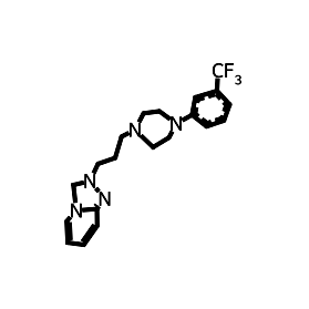 FC(F)(F)c1cccc(N2CCN(CCCN3CN4C=CC=CC4=N3)CC2)c1